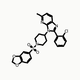 Cc1ccc2nc(-c3ccccc3Cl)n(C3CCN(S(=O)(=O)c4ccc5c(c4)OCO5)CC3)c2n1